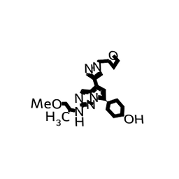 COC[C@H](C)Nc1ncc2c(-c3cnn(CC4CCO4)c3)cc([C@H]3CC[C@H](O)CC3)n2n1